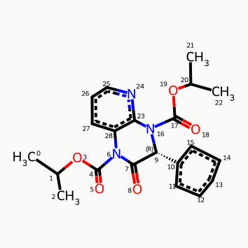 CC(C)OC(=O)N1C(=O)[C@@H](c2ccccc2)N(C(=O)OC(C)C)c2ncccc21